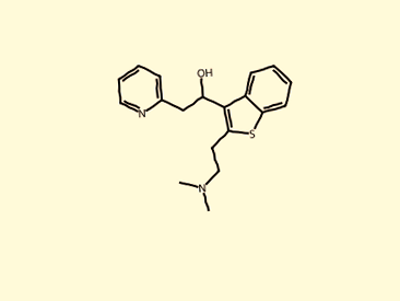 CN(C)CCc1sc2ccccc2c1C(O)Cc1ccccn1